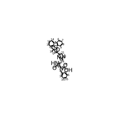 CC(O[Si](c1ccccc1)(c1ccccc1)C(C)(C)C)c1cnn(C[C@H]2NC(=O)[C@H]2N(Cc2ccccc2)C(=O)O)n1